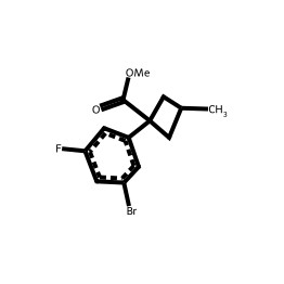 COC(=O)C1(c2cc(F)cc(Br)c2)CC(C)C1